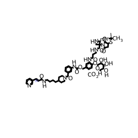 CCCC(C)(I)SC1CC(=O)N(C2(C(=O)NCCC(=O)Nc3cc(COC(=O)Nc4cccc(C(=O)N5CCC(CCCCNC(=O)/C=C/c6cccnc6)CC5)c4)ccc3OC3OC(C(=O)O)C(O)[C@H](O)[C@@H]3O)CNC2)C1=O